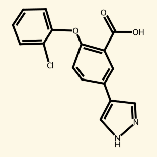 O=C(O)c1cc(-c2cn[nH]c2)ccc1Oc1ccccc1Cl